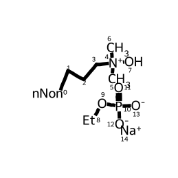 CCCCCCCCCCCC[N+](C)(C)O.CCOP(=O)([O-])[O-].[Na+]